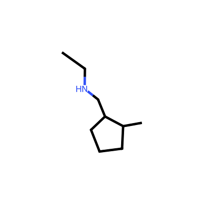 CCNCC1CCCC1C